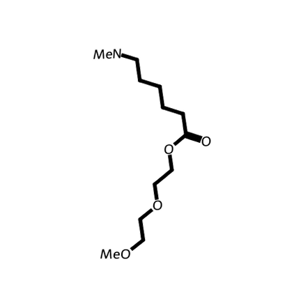 CNCCCCCC(=O)OCCOCCOC